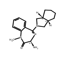 CN1C(=O)[C@H](N)N=C(N2C[C@H]3CCCC[C@H]3C2)c2ccccc21